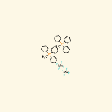 C[P+](c1ccccc1)(c1ccccc1)c1ccccc1.C[P+](c1ccccc1)(c1ccccc1)c1ccccc1.[F][Mn-]([F])([F])[F].[F][Mn-]([F])([F])[F]